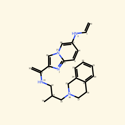 C=CNc1ccc2nc(C(=C)NCC(C)CN3CCc4ccccc4C3)cn2c1